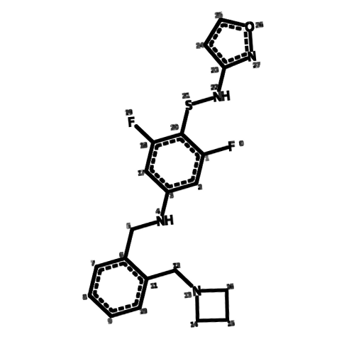 Fc1cc(NCc2ccccc2CN2CCC2)cc(F)c1SNc1ccon1